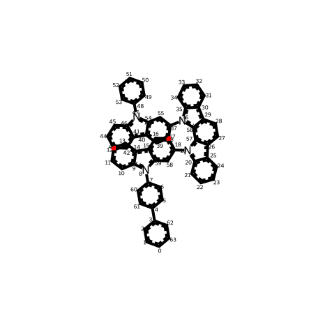 c1ccc(-c2ccc(-n3c4ccccc4c4ccc(-n5c6ccccc6c6ccc7c8ccccc8n(-c8ccc9c%10ccccc%10n(-c%10ccccc%10)c9c8)c7c65)cc43)cc2)cc1